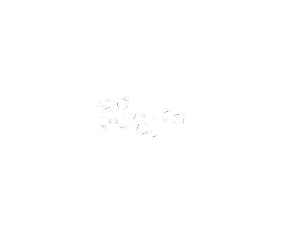 Cc1cc2c(s1)-c1ccccc1C21c2ccccc2-c2c(-c3ccc4cc(-c5ccc6ccccc6c5)c5cccc6ccc3c4c65)cccc21